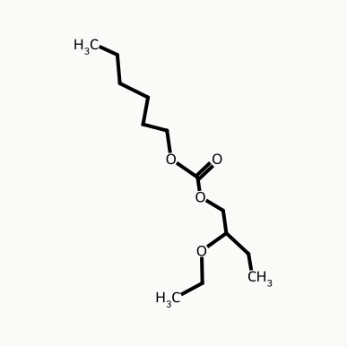 CCCCCCOC(=O)OCC(CC)OCC